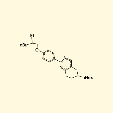 CCCCCCC1CCc2nc(-c3ccc(OCC(CC)CCCC)cc3)ncc2C1